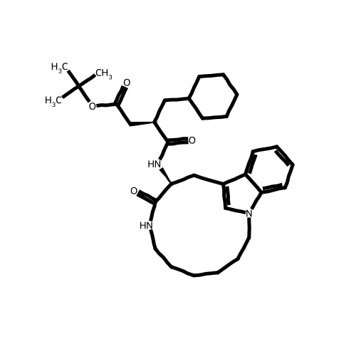 CC(C)(C)OC(=O)C[C@@H](CC1CCCCC1)C(=O)N[C@H]1Cc2cn(c3ccccc23)CCCCCCNC1=O